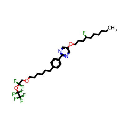 CCCCCCC(F)CCCOc1cnc(-c2ccc(CCCCCCOCC(F)(F)OC(F)(F)C(F)(F)F)cc2)nc1